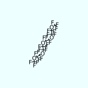 FC(F)(F)OC(F)(F)C(F)(F)OC(F)(F)C(F)(F)OC(F)(F)C(F)(F)OC(F)(F)C(F)(F)OC(F)(F)F